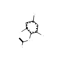 NC(=S)Nc1c(Br)cc(N)cc1Br